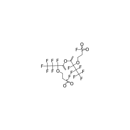 C=C(OC(=C)C(F)(OCCS(=O)(=O)F)C(F)(F)C(F)(F)F)C(F)(OCCS(=O)(=O)F)C(F)(F)C(F)(F)F